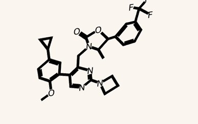 COc1ccc(C2CC2)cc1-c1cnc(N2CCC2)nc1CN1C(=O)OC(c2cccc(C(F)(F)F)c2)C1C